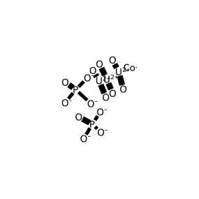 O=P([O-])([O-])[O-].O=P([O-])([O-])[O-].[Co].[O]=[U+2]=[O].[O]=[U+2]=[O].[O]=[U+2]=[O]